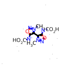 C[n+]1noc([N-]C(=O)O)c1-c1c([N-]C(=O)O)on[n+]1C